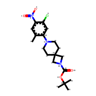 Cc1cc([N+](=O)[O-])c(Cl)cc1N1CCC2(CC1)CN(C(=O)OC(C)(C)C)C2